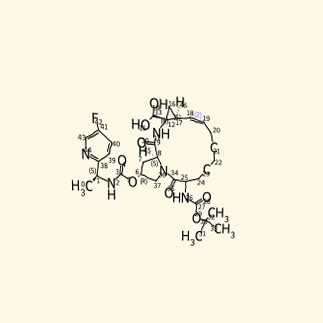 C[C@H](NC(=O)O[C@@H]1C[C@H]2C(=O)N[C@]3(C(O)O)C[C@H]3/C=C\CCCCCC(NC(=O)OC(C)(C)C)C(=O)N2C1)c1ccc(F)cn1